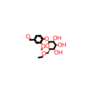 CCOC[C@H]1O[C@@H](Oc2ccc(C=O)cc2OC)[C@H](O)[C@@H](O)[C@@H]1O